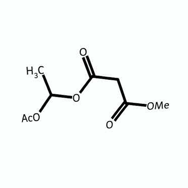 COC(=O)CC(=O)OC(C)OC(C)=O